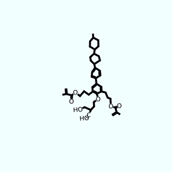 C=C(C)C(=O)OCCCc1cc(-c2ccc(C3CCC(C4CCC(C)CC4)CC3)cc2)cc(CCCOC(=O)C(=C)C)c1OCCC(CO)CO